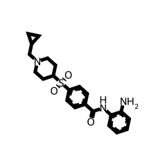 Nc1ccccc1NC(=O)c1ccc(S(=O)(=O)C2CCN(CC3CC3)CC2)cc1